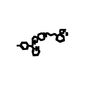 Cc1ccc(C(c2ccccn2)N2CCC3(CCN(CCCc4ccccc4C(F)(F)F)CC3)C2)cc1